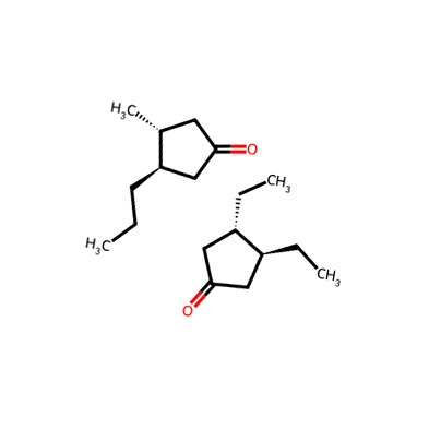 CCC[C@@H]1CC(=O)C[C@H]1C.CC[C@H]1CC(=O)C[C@@H]1CC